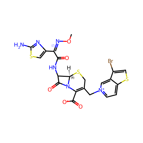 CO/N=C(\C(=O)NC1C(=O)N2C(C(=O)[O-])=C(C[n+]3ccc4scc(Br)c4c3)CS[C@H]12)c1csc(N)n1